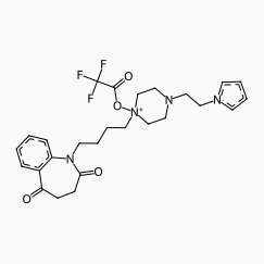 O=C1CCC(=O)N(CCCC[N+]2(OC(=O)C(F)(F)F)CCN(CCn3cccc3)CC2)c2ccccc21